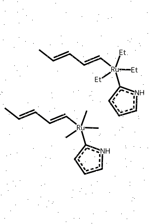 CC=CC=[CH][Ru]([CH2]C)([CH2]C)([CH2]C)[c]1ccc[nH]1.CC=CC=[CH][Ru]([CH3])([CH3])([CH3])[c]1ccc[nH]1